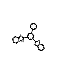 c1ccc(-c2cc(-c3nc4ccccn4n3)cc(-c3nc4ccccn4n3)c2)cc1